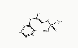 COP(=O)(OC)OC=C(C)Cc1ccccc1